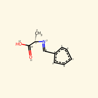 C[C@H](N=Cc1ccccc1)C(=O)O